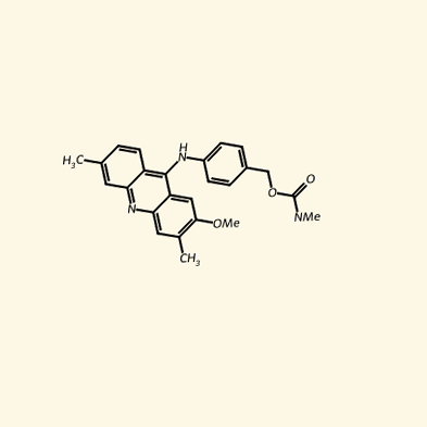 CNC(=O)OCc1ccc(Nc2c3ccc(C)cc3nc3cc(C)c(OC)cc23)cc1